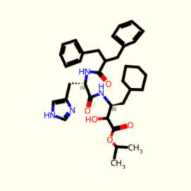 CC(C)OC(=O)C(O)[C@H](CC1CCCCC1)NC(=O)[C@H](Cc1c[nH]cn1)NC(=O)C(Cc1ccccc1)Cc1ccccc1